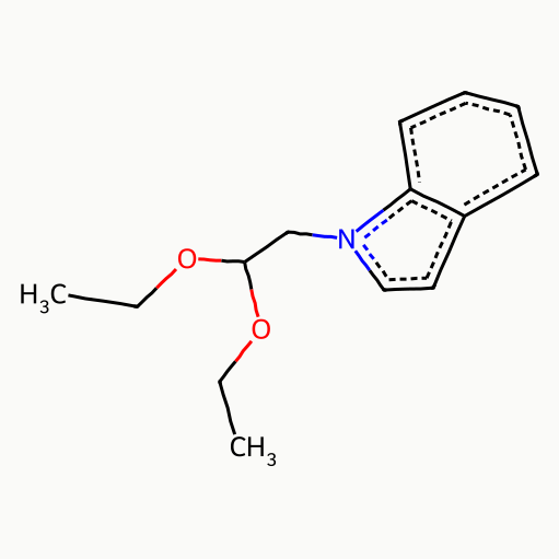 CCOC(Cn1ccc2ccccc21)OCC